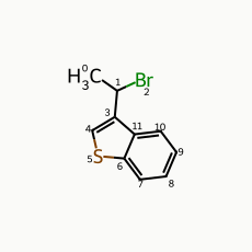 CC(Br)c1csc2ccccc12